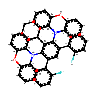 Fc1ccccc1-c1cc(-c2ccccc2F)c(N2c3ccccc3Oc3ccccc32)c(C2CCCCC2)c1N1c2ccccc2Oc2ccccc21